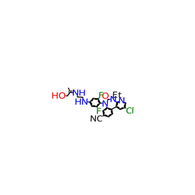 CCN1C(=O)N(c2c(F)cc(NCCN[C@H](C)CO)cc2F)c2cc(C#N)ccc2-c2cc(Cl)cnc21